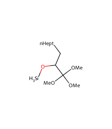 CCCCCCCCC(O[SiH3])C(OC)(OC)OC